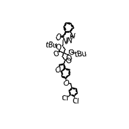 CC(C)(C)OC(=O)C(CCn1nnc2ccccc2c1=O)(CC(=O)c1coc2cc(OCc3ccc(Cl)c(Cl)c3)ccc12)C(=O)OC(C)(C)C